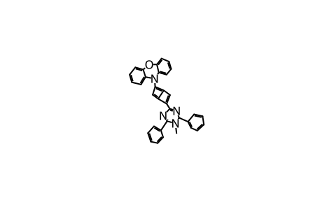 CN1C(c2ccccc2)=NC(c2cc3c(N4c5ccccc5Oc5ccccc54)cc2-3)=NC1c1ccccc1